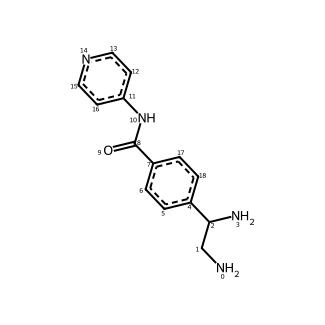 NCC(N)c1ccc(C(=O)Nc2ccncc2)cc1